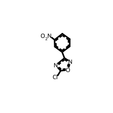 O=[N+]([O-])c1cccc(-c2noc(Cl)n2)c1